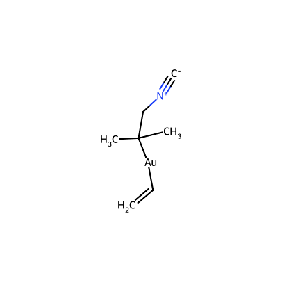 [C-]#[N+]C[C](C)(C)[Au][CH]=C